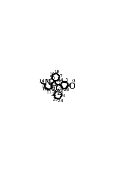 COc1ccc(C(=O)C2(c3cccc(C)n3)CCCCC2)c(N2CCCCC2)c1